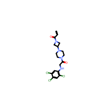 C=CC(=O)N1CC(N2CCN(C(=O)CNc3cc(Cl)c(Cl)cc3Cl)CC2)C1